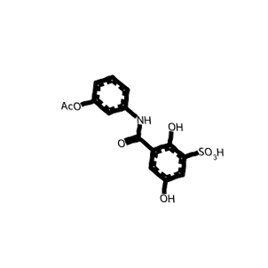 CC(=O)Oc1cccc(NC(=O)c2cc(O)cc(S(=O)(=O)O)c2O)c1